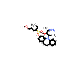 C=CC(C/C=C/OC(F)(F)F)S(=O)OOC(C(C)N1c2ccccc2CCc2ccccc21)[C@@H](N)CC